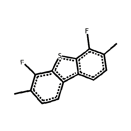 Cc1ccc2c(sc3c(F)c(C)ccc32)c1F